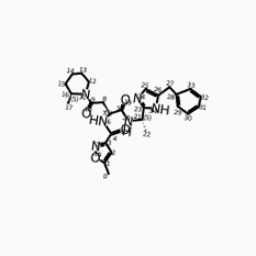 Cc1cc(C(=O)N[C@@H](CC(=O)N2CCCC[C@@H]2C)C(=O)N[C@@H](C)c2ncc(Cc3ccccc3)[nH]2)no1